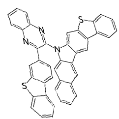 c1ccc2cc3c(cc2c1)c1cc2c(cc1n3-c1nc3ccccc3nc1-c1ccc3c(c1)sc1ccccc13)sc1ccccc12